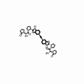 CC(C)[C@@H](C(=O)N1CCC[C@H]1c1nc2cc(C#Cc3ccc4[nH]c([C@@H]5CCCN5C(=O)[C@H](C(C)C)N5CCCC5=O)nc4c3)ccc2[nH]1)N1CCCC1=O